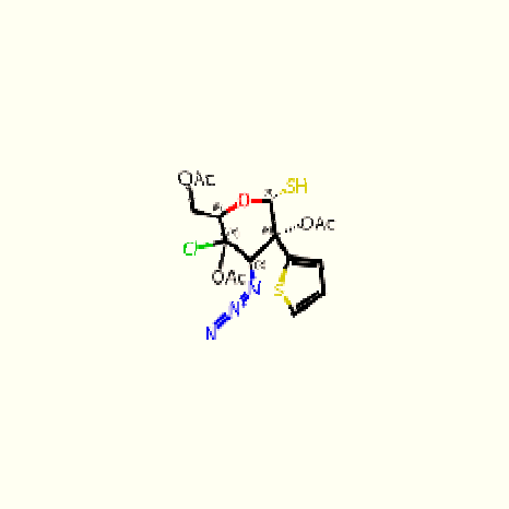 CC(=O)OC[C@H]1O[C@H](S)[C@@](OC(C)=O)(c2cccs2)[C@@H](N=[N+]=[N-])[C@@]1(Cl)OC(C)=O